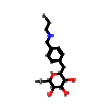 CC(C)CCNCc1ccc(CC2OC(C(=O)O)C(O)C(O)C2O)cc1